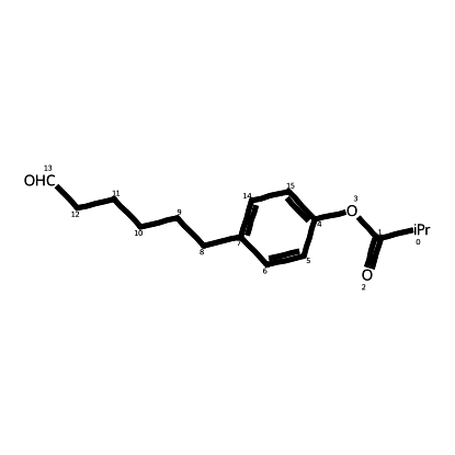 CC(C)C(=O)Oc1ccc(CCCCCC=O)cc1